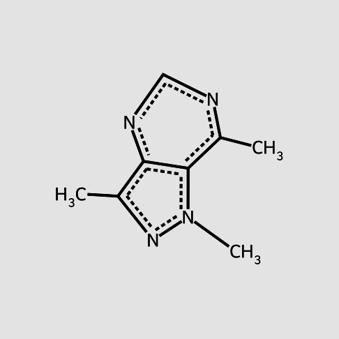 Cc1nn(C)c2c(C)ncnc12